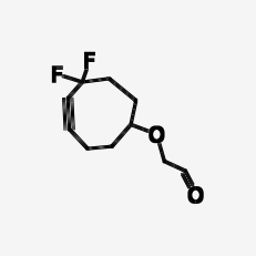 O=CCOC1CCC#CC(F)(F)CC1